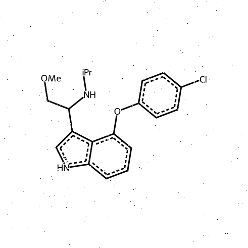 COCC(NC(C)C)c1c[nH]c2cccc(Oc3ccc(Cl)cc3)c12